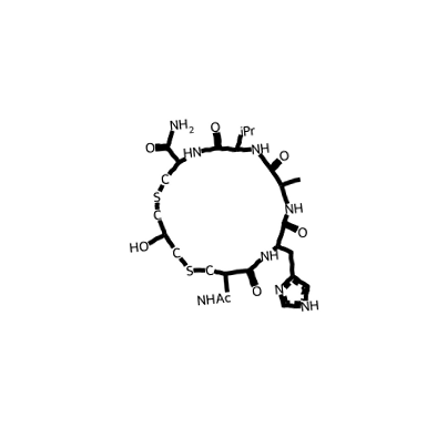 CC(=O)NC1CSCC(O)CSCC(C(N)=O)NC(=O)C(C(C)C)NC(=O)C(C)NC(=O)C(Cc2c[nH]cn2)NC1=O